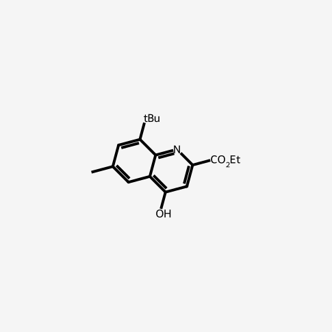 CCOC(=O)c1cc(O)c2cc(C)cc(C(C)(C)C)c2n1